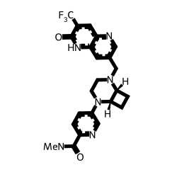 CNC(=O)c1ccc(N2CCN(Cc3cnc4cc(C(F)(F)F)c(=O)[nH]c4c3)[C@@H]3CC[C@@H]32)cn1